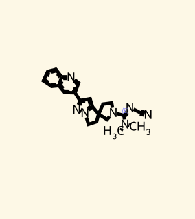 CN(C)/C(=N\C#N)N1CCC2(CCn3nc(-c4cnc5ccccc5c4)cc32)C1